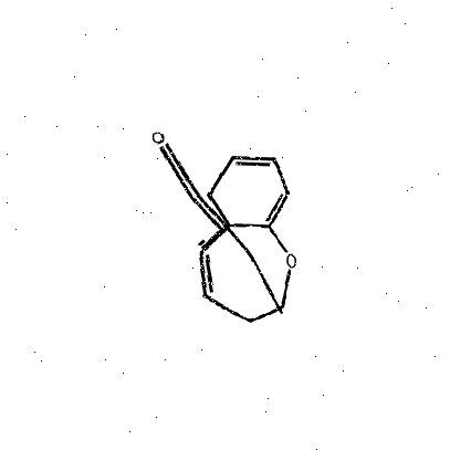 O=C1C=CC2=CCCOC3=CC=CCC23C1